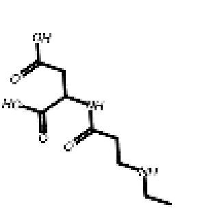 CCNCCC(=O)NC(CC(=O)O)C(=O)O